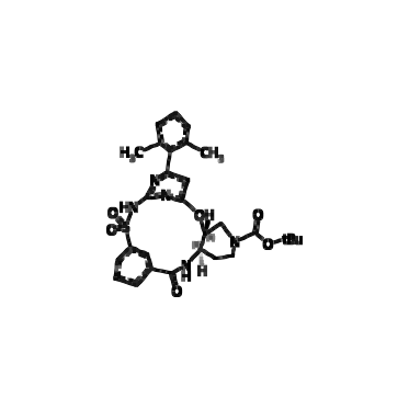 Cc1cccc(C)c1-c1cc2nc(n1)NS(=O)(=O)c1cccc(c1)C(=O)N[C@@H]1CCN(C(=O)OC(C)(C)C)C[C@H]1O2